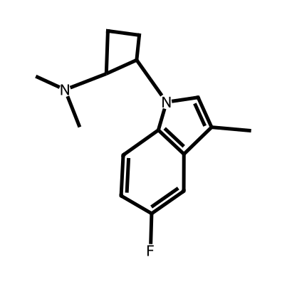 Cc1cn(C2CCC2N(C)C)c2ccc(F)cc12